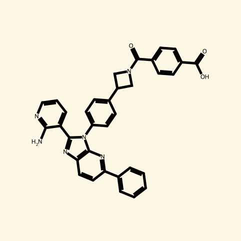 Nc1ncccc1-c1nc2ccc(-c3ccccc3)nc2n1-c1ccc(C2CN(C(=O)c3ccc(C(=O)O)cc3)C2)cc1